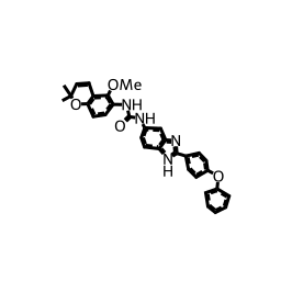 COc1c(NC(=O)Nc2ccc3[nH]c(-c4ccc(Oc5ccccc5)cc4)nc3c2)ccc2c1C=CC(C)(C)O2